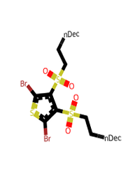 CCCCCCCCCCCCS(=O)(=O)c1c(Br)sc(Br)c1S(=O)(=O)CCCCCCCCCCCC